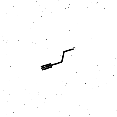 C#CCCCl